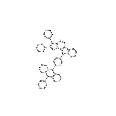 c1ccc(-c2c3ccccc3c(-c3ccc(-n4c5ccccc5c5ccc6c(cc(-c7ccccc7)n6-c6ccccc6)c54)cc3)c3ccccc23)cc1